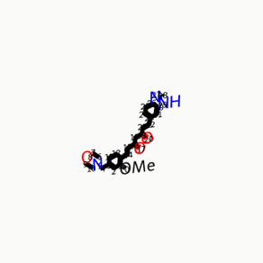 COc1cc(CN2CCOCC2)ccc1/C=C/C(=O)CC(=O)/C=C/c1ccc2nc[nH]c2c1